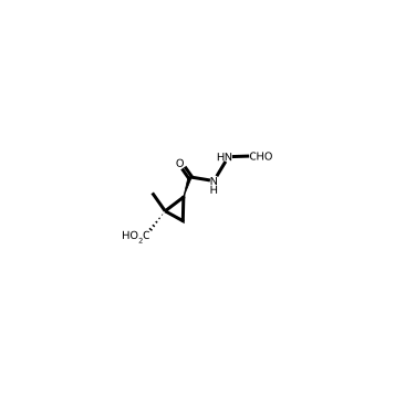 C[C@]1(C(=O)O)C[C@@H]1C(=O)NNC=O